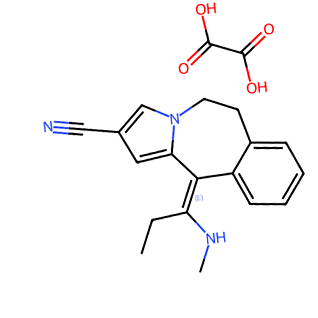 CC/C(NC)=C1/c2ccccc2CCn2cc(C#N)cc21.O=C(O)C(=O)O